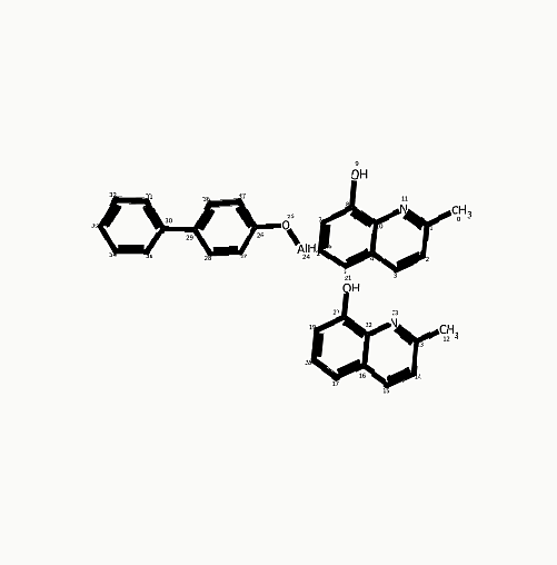 Cc1ccc2cccc(O)c2n1.Cc1ccc2cccc(O)c2n1.[AlH2][O]c1ccc(-c2ccccc2)cc1